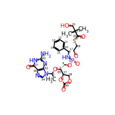 CC(O[C@H](COP(=O)(NCc1ccccc1)OCCSC(=O)C(C)(C)CO)C1COC(=O)O1)n1cnc2c(=O)[nH]c(N)nc21